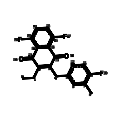 CCC1=C(Cc2cc(C)c(F)cn2)C(=O)c2c(F)ccc(F)c2C1=O